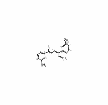 C=C/C(=C\C=C(/C)c1cccc(N)c1)c1cccc(C)c1